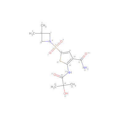 CC1(C)CN(S(=O)(=O)c2cc(C(N)=O)c(NC(=O)C(C)(C)O)s2)C1